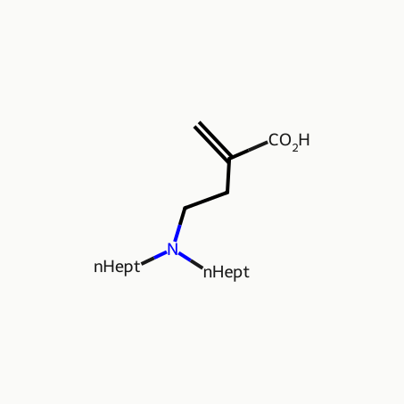 C=C(CCN(CCCCCCC)CCCCCCC)C(=O)O